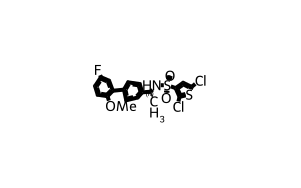 COc1ccc(F)cc1-c1ccc([C@@H](C)NS(=O)(=O)c2cc(Cl)sc2Cl)cc1